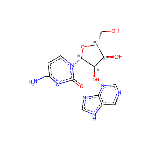 Nc1ccn([C@@H]2O[C@H](CO)[C@@H](O)[C@H]2O)c(=O)n1.c1ncc2[nH]cnc2n1